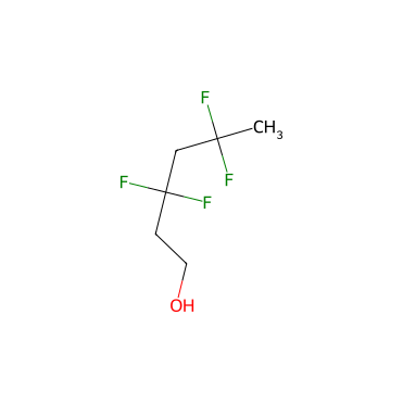 CC(F)(F)CC(F)(F)CCO